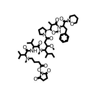 CCC(C)C(C(CC(=O)N1CCC[C@H]1C(OC)C(C)C(=O)NC(Cc1ccccc1)C(=O)N1CCCCO1)OC)N(C)C(=O)C(NC(=O)C(C(C)C)N(C)CCCC(=O)ON1C(=O)CCC1=O)C(C)C